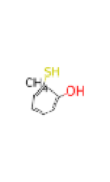 C.Oc1ccccc1S